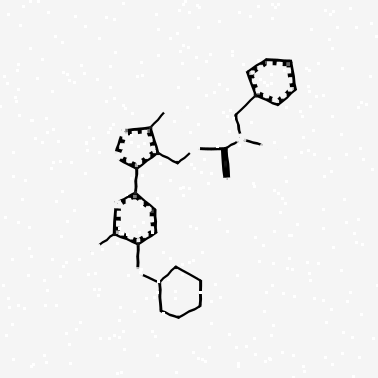 Cc1nc(-c2onc(C)c2COC(=O)N(C)Cc2ccccc2)ccc1OC1CCCCC1